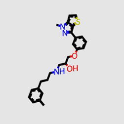 Cc1cccc(CCCNCC(O)COc2cccc(-c3nn(C)c4ccsc34)c2)c1